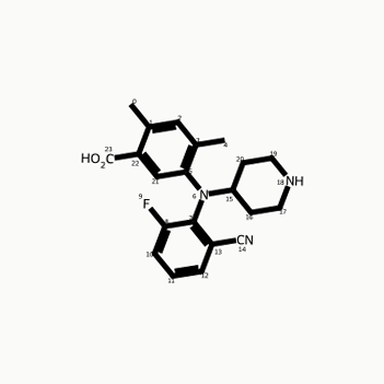 Cc1cc(C)c(N(c2c(F)cccc2C#N)C2CCNCC2)cc1C(=O)O